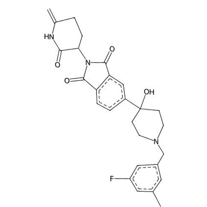 C=C1CCC(N2C(=O)c3ccc(C4(O)CCN(Cc5cc(F)cc(F)c5)CC4)cc3C2=O)C(=O)N1